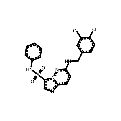 O=S(=O)(Nc1ccccc1)c1cnc2ccc(NCc3ccc(Cl)c(Cl)c3)nn12